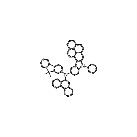 CC1(C)c2ccccc2-c2ccc(N(c3ccc4c(c3)c3c5ccc6cccc7ccc(cc3n4-c3ccccc3)c5c76)c3cc4ccccc4c4ccccc34)cc21